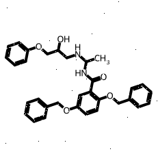 CC(NCC(O)COc1ccccc1)NC(=O)c1cc(OCc2ccccc2)ccc1OCc1ccccc1